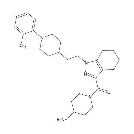 CC(=O)NC1CCN(C(=O)c2nn(CCC3CCN(c4ccccc4C(F)(F)F)CC3)c3c2CCCC3)CC1